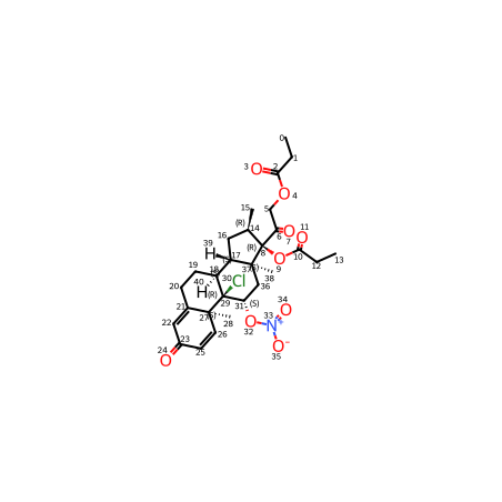 CCC(=O)OCC(=O)[C@@]1(OC(=O)CC)[C@H](C)C[C@H]2[C@@H]3CCC4=CC(=O)C=C[C@]4(C)[C@@]3(Cl)[C@@H](O[N+](=O)[O-])C[C@@]21C